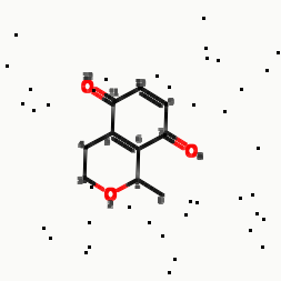 CC1O[CH]CC2=C1C(=O)C=CC2=O